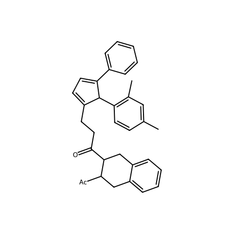 CC(=O)C1Cc2ccccc2CC1C(=O)CCC1=CC=C(c2ccccc2)C1c1ccc(C)cc1C